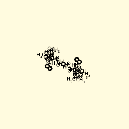 CN[C@@H](C)C(=O)N[C@H](C(=O)N1CCN(C(=O)CNC(=O)C2CCC(C(=O)NCC(=O)N3CCN(C(=O)[C@@H](NC(=O)[C@H](C)NC)C(C)(C)C)[C@H](C(=O)N[C@@H]4CCCc5ccccc54)C3)CC2)C[C@H]1C(=O)N[C@@H]1CCCc2ccccc21)C(C)(C)C